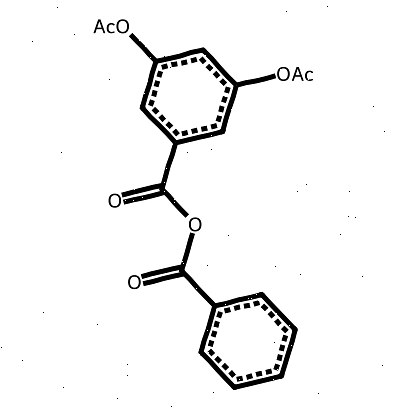 CC(=O)Oc1cc(OC(C)=O)cc(C(=O)OC(=O)c2ccccc2)c1